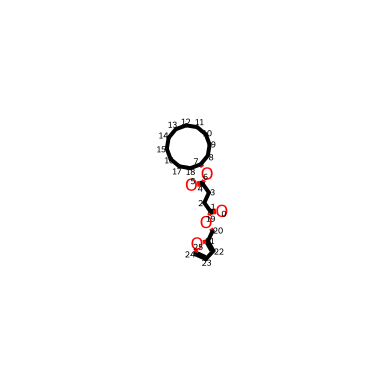 O=C(CCC(=O)OC1CCCCCCCCCCC1)OCc1ccco1